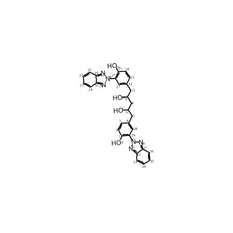 Oc1ccc(CC(O)CC(O)Cc2ccc(O)c(-n3nc4ccccc4n3)c2)cc1-n1nc2ccccc2n1